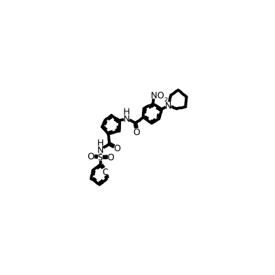 O=C(Nc1cccc(C(=O)NS(=O)(=O)c2ccccc2)c1)c1ccc(N2CCCCC2)c([N+](=O)[O-])c1